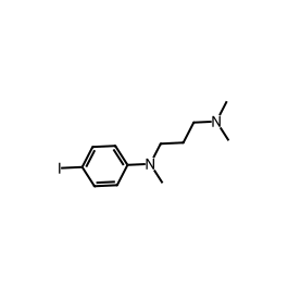 CN(C)CCCN(C)c1ccc(I)cc1